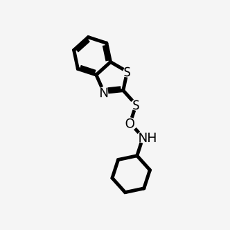 c1ccc2sc(SONC3CCCCC3)nc2c1